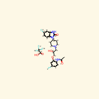 CC(=O)Nc1ccc(F)cc1OC[C@@H](O)CN1CCC(n2c(=O)[nH]c3cc(F)ccc32)CC1.O=C(O)C(F)(F)F